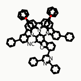 N#Cc1c(-n2c3ccc(-c4ccccc4)cc3c3cc(-c4ccccc4)ccc32)c(-n2c3ccc(-c4ccccc4)cc3c3cc(-c4ccccc4)ccc32)c(-n2c3ccc(-c4ccccc4)cc3c3cc(-c4ccccc4)ccc32)c2c1oc1c(-c3cc(-c4ccccc4)nc(-c4ccccc4)n3)cccc12